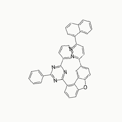 c1ccc(-c2nc(-c3ccccc3)nc(-c3cccc4oc5ccc(-c6ccc(-c7cccc8ccccc78)nn6)cc5c34)n2)cc1